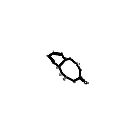 O=C1CSCC2C=CC=CC2CSC1